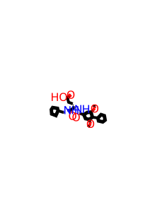 COc1cc(C(=O)N[C@@H](CCC(=O)O)C(=O)NCc2ccccc2)cc(OC)c1-c1ccccc1